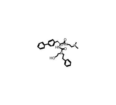 CN(C)CCNC(=O)[C@H](Cc1ccc(-c2ccccc2)cc1)NC(=O)N(CCO)CCc1ccccc1